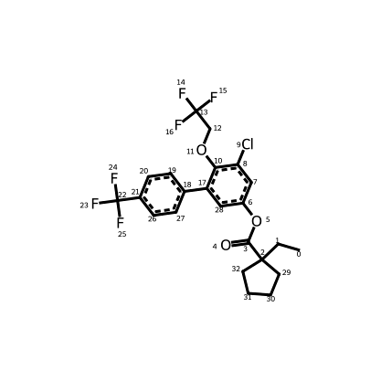 CCC1(C(=O)Oc2cc(Cl)c(OCC(F)(F)F)c(-c3ccc(C(F)(F)F)cc3)c2)CCCC1